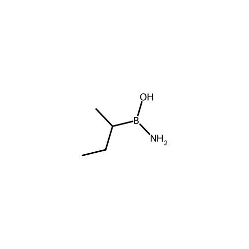 CCC(C)B(N)O